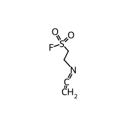 C=C=NCCS(=O)(=O)F